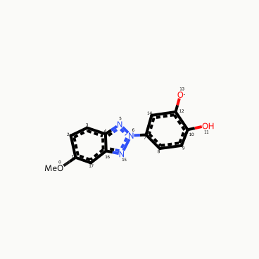 COc1ccc2nn(-c3ccc(O)c([O])c3)nc2c1